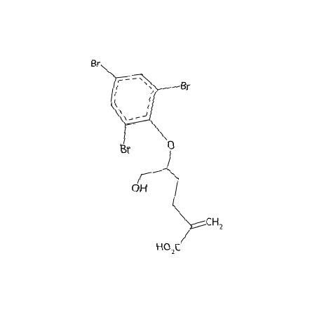 C=C(CCC(CO)Oc1c(Br)cc(Br)cc1Br)C(=O)O